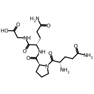 NC(=O)CC[C@H](NC(=O)[C@@H]1CCCN1C(=O)[C@@H](N)CCC(N)=O)C(=O)NCC(=O)O